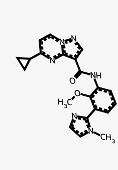 COc1c(NC(=O)c2cnn3ccc(C4CC4)nc23)cccc1-c1nccn1C